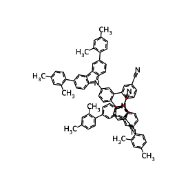 Cc1ccc(-c2ccc3c(c2)c2cc(-c4ccc(C)cc4C)ccc2n3-c2ccc(-c3ccc(C#N)cc3C#N)c(-c3cc(C#N)ccc3-n3c4ccc(-c5ccc(C)cc5C)cc4c4cc(-c5ccc(C)cc5C)ccc43)c2)c(C)c1